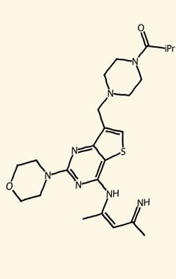 CC(=N)/C=C(/C)Nc1nc(N2CCOCC2)nc2c(CN3CCN(C(=O)C(C)C)CC3)csc12